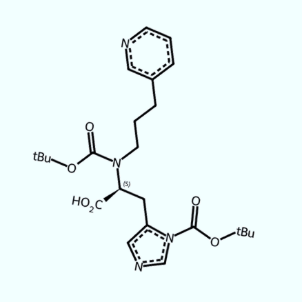 CC(C)(C)OC(=O)N(CCCc1cccnc1)[C@@H](Cc1cncn1C(=O)OC(C)(C)C)C(=O)O